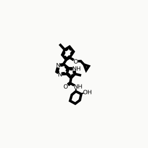 Cc1ccc(OCC2CC2)c(-c2ncnc3c(C(=O)N[C@@H]4CCCC[C@@H]4O)c(C)[nH]c23)c1